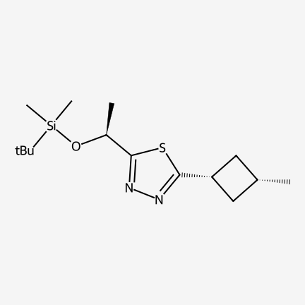 C[C@H](O[Si](C)(C)C(C)(C)C)c1nnc([C@H]2C[C@@H](C)C2)s1